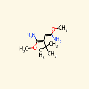 CO/C(N)=C(/C=C(\N)OC)C(C)(C)C